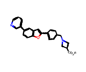 O=C(O)C1CN(Cc2ccc(-c3cc4cc(-c5cccnc5)ccc4o3)cc2)C1